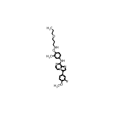 CCCOCCCNOc1ccc(Nc2nccn3c(-c4ccc(OC)c(F)c4)cnc23)cc1C